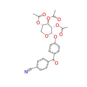 CC(=O)O[C@@H]1[C@H](Oc2ccc(C(=O)c3ccc(C#N)cc3)cc2)OC[C@H](OC(C)=O)[C@H]1OC(C)=O